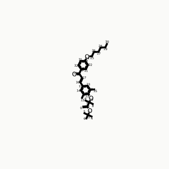 C=C(OC(C)(C)C)C(C)(C)Oc1c(C)cc(/C=C/C(=O)c2ccc(OCCCCCC)cc2)cc1C